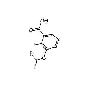 O=C(O)c1cccc(OC(F)F)c1I